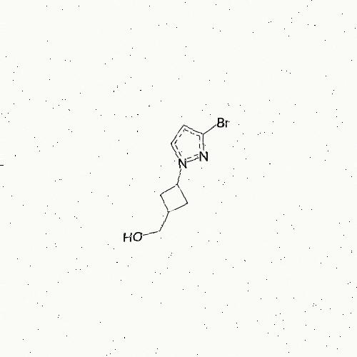 OCC1CC(n2ccc(Br)n2)C1